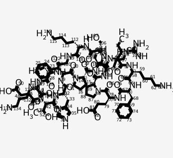 CC[C@H](C)[C@H](NC(=O)[C@H](CS)NC(=O)[C@@H]1CCCN1C(=O)[C@H](Cc1ccccc1)NC(=O)[C@H](Cc1c[nH]cn1)NC(=O)[C@@H](NC(=O)[C@@H](N)CC(=O)O)[C@@H](C)O)C(=O)N[C@@H](CCCCN)C(=O)N[C@@H](Cc1ccccc1)C(=O)N[C@@H](CCC(=O)O)C(=O)N1CCC[C@H]1C(=O)N[C@@H](CCCNC(=N)N)C(=O)N[C@@H](CO)C(=O)N[C@@H](CCCCN)C(=O)NCC(=O)N[C@@H](CS)C(=O)N[C@@H](CCCCN)C(=O)O